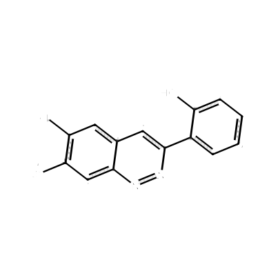 Oc1ccccc1-c1cc2cc(Cl)c(Br)cc2nn1